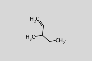 [CH2]CC(C)C=C